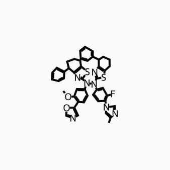 COc1cc(N(c2nc3c(s2)CCCC3c2ccccc2)N(c2ccc(-n3cnc(C)c3)c(F)c2)c2nc3c(s2)CCCC3c2ccccc2)ccc1-c1cnco1